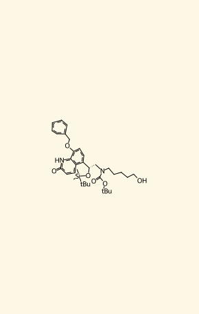 CC(C)(C)OC(=O)N(CCCCCO)C[C@H](O[Si](C)(C)C(C)(C)C)c1ccc(OCc2ccccc2)c2[nH]c(=O)ccc12